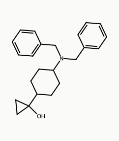 OC1(C2CCC(N(Cc3ccccc3)Cc3ccccc3)CC2)CC1